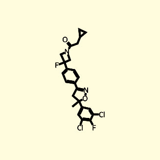 CC1(c2cc(Cl)c(F)c(Cl)c2)CC(c2ccc(C3(F)CN(C(=O)CC4CC4)C3)cc2)=NO1